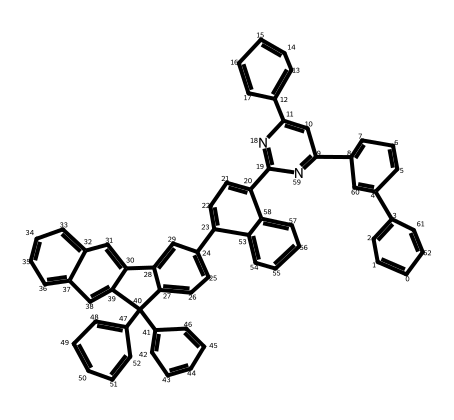 c1ccc(-c2cccc(-c3cc(-c4ccccc4)nc(-c4ccc(-c5ccc6c(c5)-c5cc7ccccc7cc5C6(c5ccccc5)c5ccccc5)c5ccccc45)n3)c2)cc1